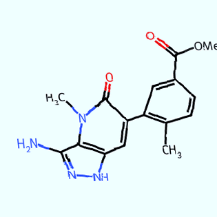 COC(=O)c1ccc(C)c(-c2cc3[nH]nc(N)c3n(C)c2=O)c1